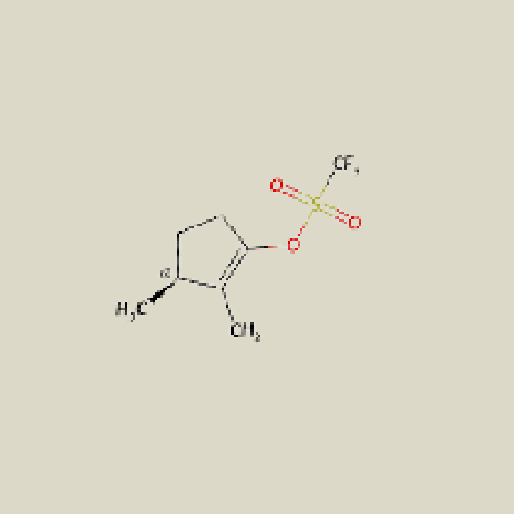 CC1=C(OS(=O)(=O)C(F)(F)F)CC[C@@H]1C